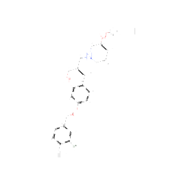 CC(C)c1ccc(COc2ccc3c(c2)OCC(CN2CCC=C(OC(=O)O)C2)=C3)cc1Cl